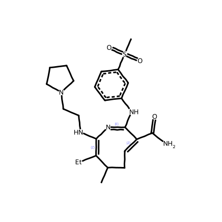 CC/C1=C(NCCN2CCCC2)/N=C(Nc2cccc(S(C)(=O)=O)c2)\C(C(N)=O)=C\CC1C